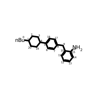 CCCCC1CCC(c2ccc(Cc3ccccc3N)cc2)CC1